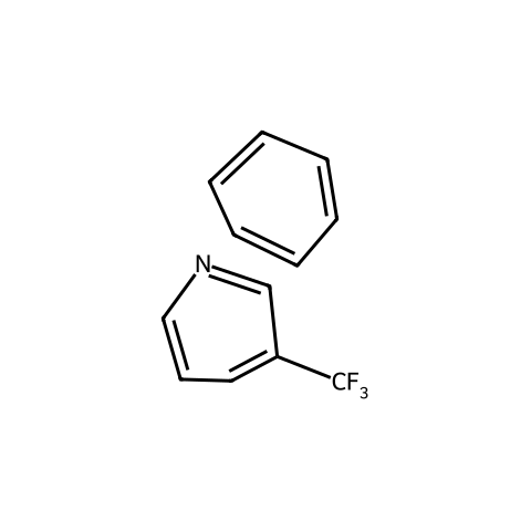 FC(F)(F)c1cccnc1.c1ccccc1